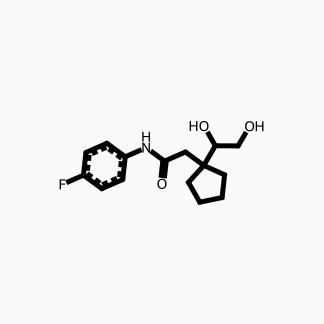 O=C(CC1(C(O)CO)CCCC1)Nc1ccc(F)cc1